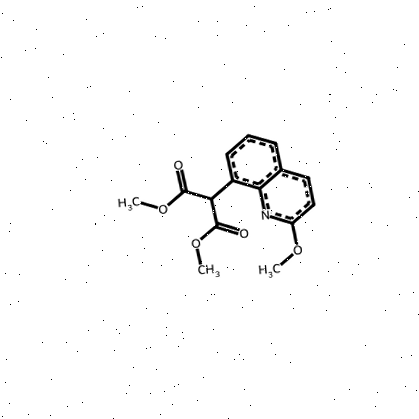 COC(=O)C(C(=O)OC)c1cccc2ccc(OC)nc12